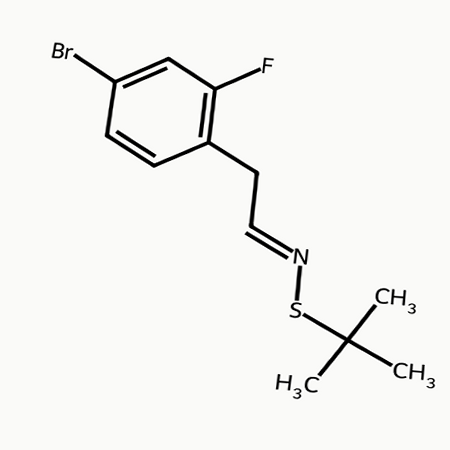 CC(C)(C)S/N=C/Cc1ccc(Br)cc1F